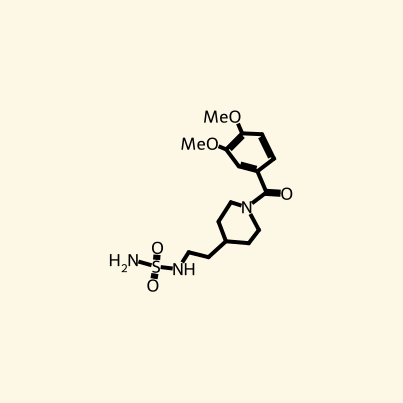 COc1ccc(C(=O)N2CCC(CCNS(N)(=O)=O)CC2)cc1OC